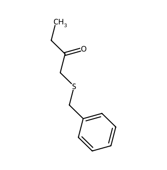 CCC(=O)CSCc1ccccc1